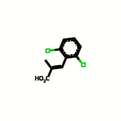 C/C(=C\c1c(Cl)cccc1Cl)C(=O)O